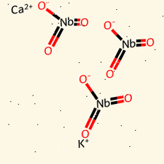 [Ca+2].[K+].[O]=[Nb](=[O])[O-].[O]=[Nb](=[O])[O-].[O]=[Nb](=[O])[O-]